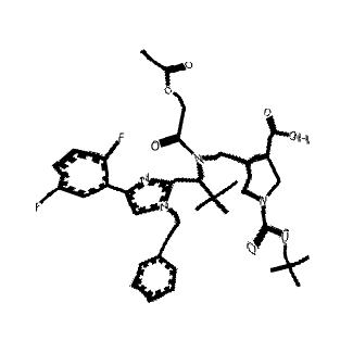 CC(=O)OCC(=O)N(CC1CN(C(=O)OC(C)(C)C)CC1C(=O)O)C(c1nc(-c2cc(F)ccc2F)cn1Cc1ccccc1)C(C)(C)C